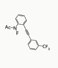 CC(=O)N(F)c1ccccc1C#Cc1cccc(C(F)(F)F)c1